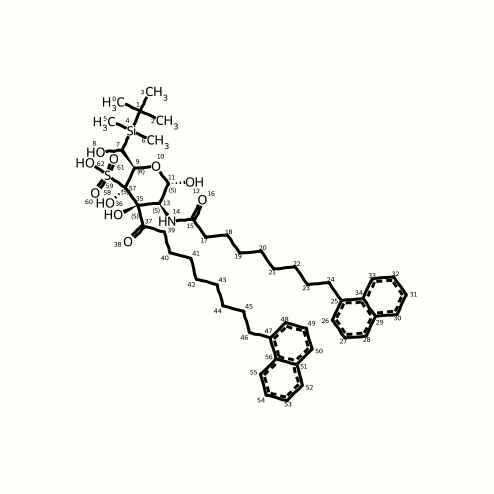 CC(C)(C)[Si](C)(C)C(O)[C@H]1O[C@H](O)[C@@H](NC(=O)CCCCCCCCc2cccc3ccccc23)[C@](O)(C(=O)CCCCCCCCc2cccc3ccccc23)[C@@]1(O)S(=O)(=O)O